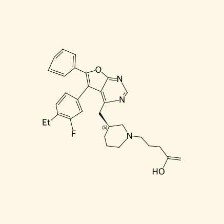 C=C(O)CCCN1CCC[C@@H](Cc2ncnc3oc(-c4ccccc4)c(-c4ccc(CC)c(F)c4)c23)C1